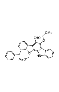 COCOc1c(C=O)c2c3cccc(Cc4ccccc4)c3n(COC)c2c2[nH]c3ccccc3c12